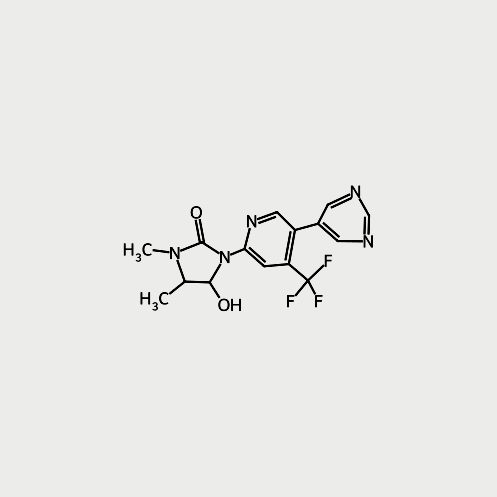 CC1C(O)N(c2cc(C(F)(F)F)c(-c3cncnc3)cn2)C(=O)N1C